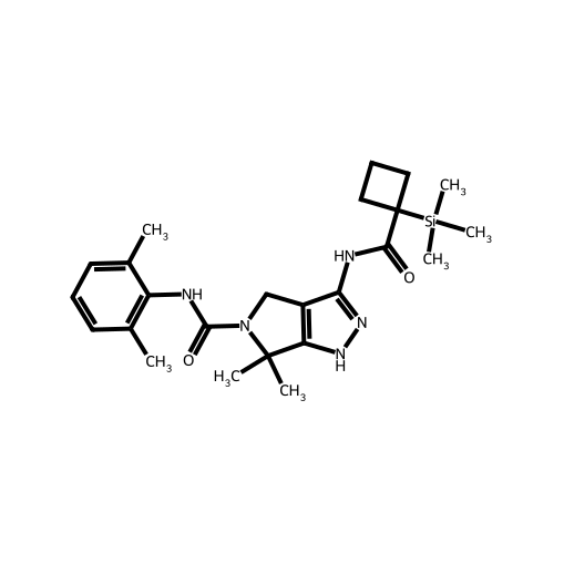 Cc1cccc(C)c1NC(=O)N1Cc2c(NC(=O)C3([Si](C)(C)C)CCC3)n[nH]c2C1(C)C